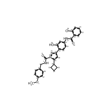 COc1ccc(CNC(=O)n2nc(-c3ccc(NC(=O)c4ccccc4Cl)cc3O)cc2C2CCC2)cc1